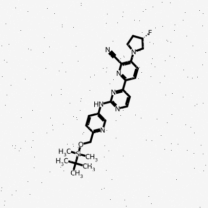 CC(C)(C)[Si](C)(C)OCc1ccc(Nc2nccc(-c3ccc(N4CC[C@H](F)C4)c(C#N)n3)n2)cn1